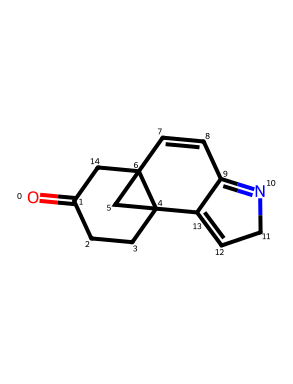 O=C1CCC23CC2(C=CC2=NCC=C23)C1